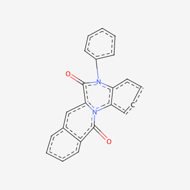 O=c1c2cc3ccccc3c(=O)n2c2ccccc2n1-c1ccccc1